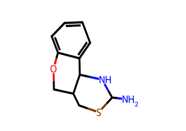 NC1NC2c3ccccc3OCC2CS1